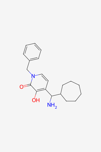 NC(c1ccn(Cc2ccccc2)c(=O)c1O)C1CCCCCC1